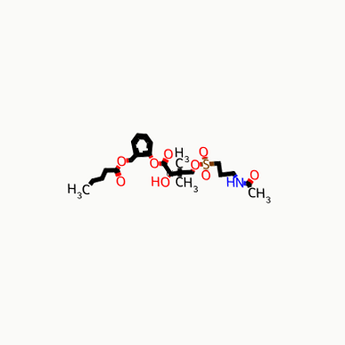 CCCCC(=O)OCc1ccccc1OC(=O)[C@H](O)C(C)(C)COS(=O)(=O)CCCNC(C)=O